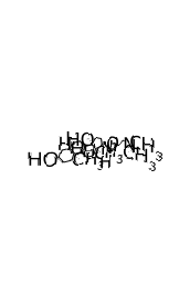 CN(C)CCON[C@H]1CC[C@]2(O)[C@@H]3CC[C@@H]4C[C@@H](O)CC[C@]4(C)[C@H]3CC[C@]12C